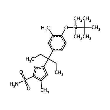 CCC(CC)(c1ccc(O[Si](C)(C)C(C)(C)C)c(C)c1)c1cc(C)c(S(N)(=O)=O)s1